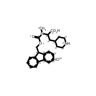 CN(C(=O)OCC1c2ccccc2-c2ccccc21)C(CC1CCNCC1)C(=O)O.Cl